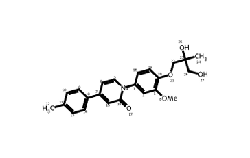 COc1cc(-n2ccc(-c3ccc(C)cc3)cc2=O)ccc1OCC(C)(O)CO